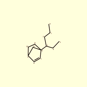 CCCC(CC)C12C=CC(CC1)C2